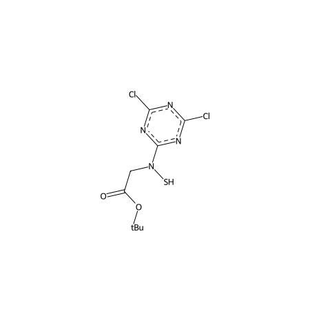 CC(C)(C)OC(=O)CN(S)c1nc(Cl)nc(Cl)n1